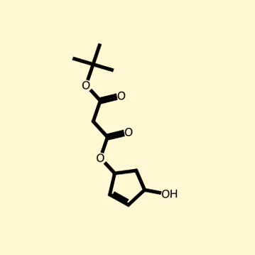 CC(C)(C)OC(=O)CC(=O)OC1C=CC(O)C1